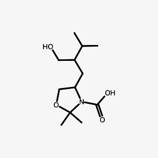 CC(C)C(CO)CC1COC(C)(C)N1C(=O)O